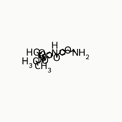 CC(C)CN(CC(=O)O)S(=O)(=O)c1ccc(NC(=O)c2ccc(OCCN)cc2)cc1